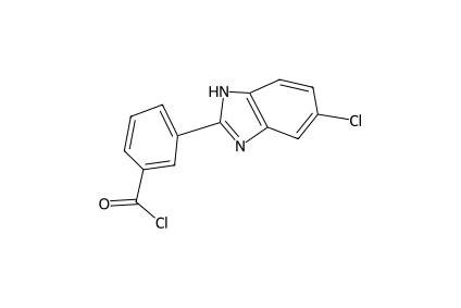 O=C(Cl)c1cccc(-c2nc3cc(Cl)ccc3[nH]2)c1